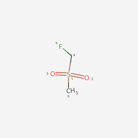 CS(=O)(=O)[CH]F